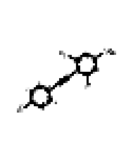 CCCCc1cc(F)c(C#Cc2ccc(Br)cc2)c(F)c1